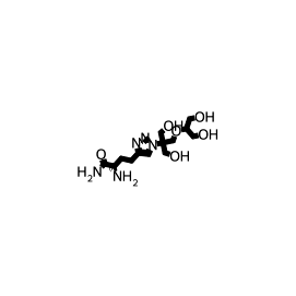 NC(=O)[C@H](N)CCc1cn(C(CO)(CO)COC(CO)CO)nn1